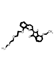 CCOCCOCCOc1cccc2ccc(C3C(=O)c4cccc(OCC)c4C3=O)nc12